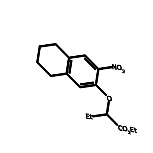 CCOC(=O)C(CC)Oc1cc2c(cc1[N+](=O)[O-])CCCC2